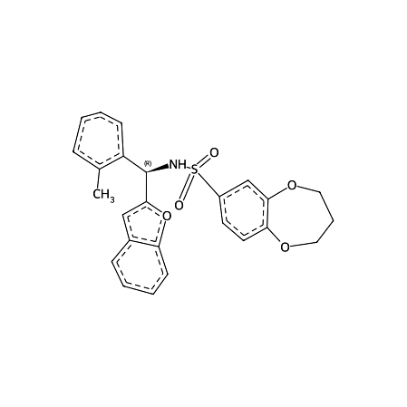 Cc1ccccc1[C@@H](NS(=O)(=O)c1ccc2c(c1)OCCCO2)c1cc2ccccc2o1